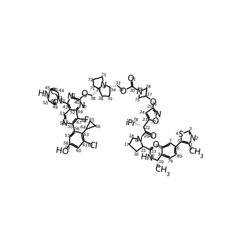 Cc1ncsc1-c1ccc([C@H](C)NC(=O)C2CCCN2C(=O)[C@@H](c2cc(OC3CN(C(=O)OC[C@@H]4CC[C@@]5(COc6nc(N7CC8CCCC7CN8)c7cnc(-c8cc(O)cc(Cl)c8C8CC8)c(F)c7n6)CCCN45)C3)no2)C(C)C)cc1